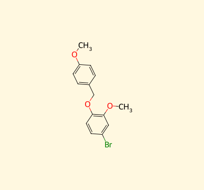 COc1ccc(COc2ccc(Br)cc2OC)cc1